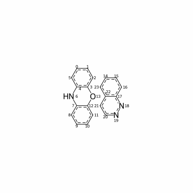 c1ccc2c(c1)Nc1ccccc1O2.c1ccc2nnccc2c1